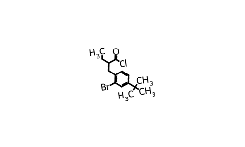 CCC(Cc1ccc(C(C)(C)C)cc1Br)C(=O)Cl